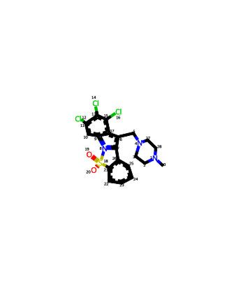 CN1CCN(Cc2c3n(c4cc(Cl)c(Cl)c(Cl)c24)S(=O)(=O)c2ccccc2-3)CC1